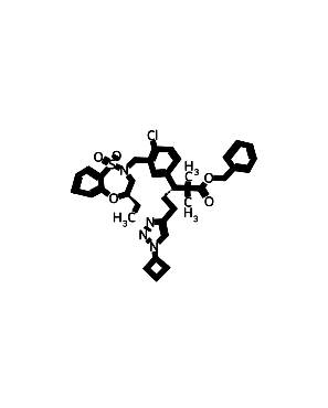 CC[C@@H]1CN(Cc2cc([C@@H](CCc3cn(C4CCC4)nn3)C(C)(C)C(=O)OCc3ccccc3)ccc2Cl)S(=O)(=O)c2ccccc2O1